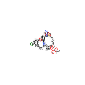 CCOC(=O)CO[C@@H]1/C=C/CCCS(=O)(=O)NC(=O)c2ccc3c(c2)N(CCCCc2cc(Cl)ccc2CO3)CC2CCC21